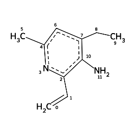 C=Cc1nc(C)cc(CC)c1N